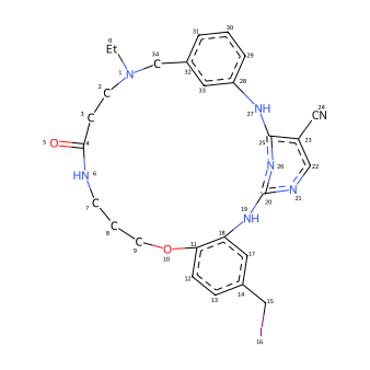 CCN1CCC(=O)NCCCOc2ccc(CI)cc2Nc2ncc(C#N)c(n2)Nc2cccc(c2)C1